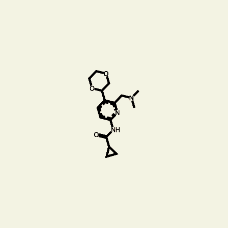 CN(C)Cc1nc(NC(=O)C2CC2)ccc1C1COCCO1